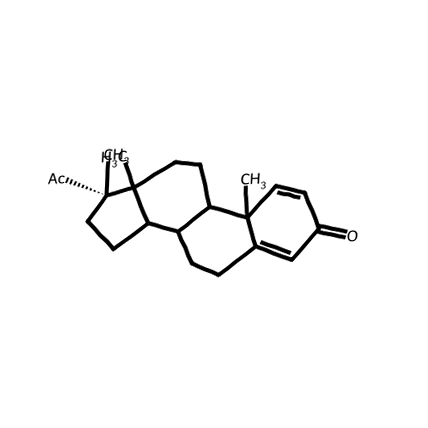 CC(=O)[C@@]1(C)CCC2C3CCC4=CC(=O)C=CC4(C)C3CCC21C